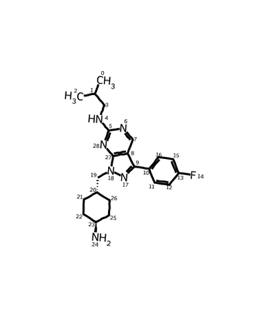 CC(C)CNc1ncc2c(-c3ccc(F)cc3)nn(C[C@H]3CC[C@H](N)CC3)c2n1